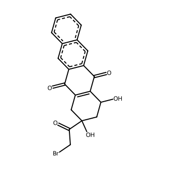 O=C1C2=C(C(=O)c3cc4ccccc4cc31)C(O)CC(O)(C(=O)CBr)C2